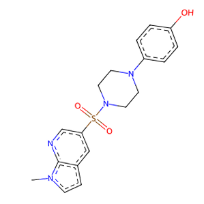 Cn1ccc2cc(S(=O)(=O)N3CCN(c4ccc(O)cc4)CC3)cnc21